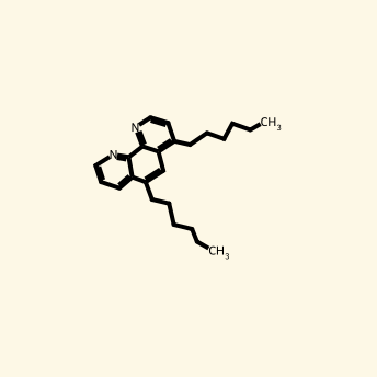 CCCCCCc1cc2c(CCCCCC)ccnc2c2ncccc12